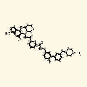 CCc1nc2c(cnn2CC)c(NC2CCOCC2)c1CNC(=O)c1cccc(C(=O)NCc2ccc(F)c(-c3cccc(CN4CCN(C)CC4)c3)c2)n1